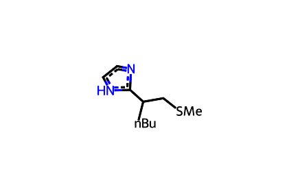 CCCCC(CSC)c1ncc[nH]1